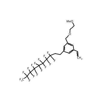 C=Cc1cc(CCC(F)(F)C(F)(F)C(F)(F)C(F)(F)C(F)(F)C(F)(F)C(F)(F)C(F)(F)F)cc(COCCOC)c1